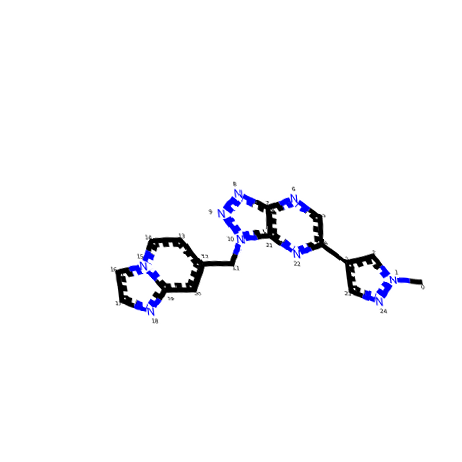 Cn1cc(-c2cnc3nnn(Cc4ccn5ccnc5c4)c3n2)cn1